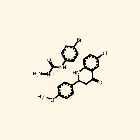 COc1ccc(C2CC(=O)c3cc(Cl)ccc3N2)cc1.NNC(=O)Nc1ccc(Br)cc1